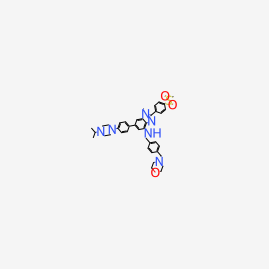 CC(C)N1CCN(c2ccc(-c3cc(NCc4ccc(CN5CCOCC5)cc4)c4nc(-c5ccc(S(C)(=O)=O)cc5)n(C)c4c3)cc2)CC1